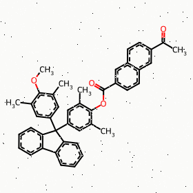 COc1c(C)cc(C2(c3cc(C)c(OC(=O)c4ccc5cc(C(C)=O)ccc5c4)c(C)c3)c3ccccc3-c3ccccc32)cc1C